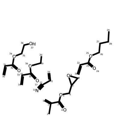 C=C(C)C(=O)OCC1CO1.C=CC#N.C=CC(=O)OCC.C=CC(=O)OCCCC.C=CC(=O)OCCO